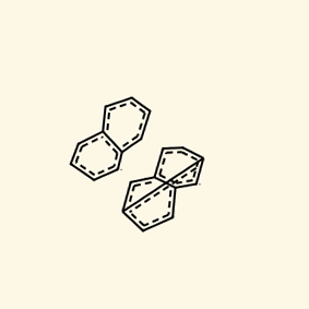 [c]1c2ccc3cc2ccc13.[c]1cccc2ccccc12